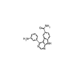 NC(=O)c1ccc2[nH]c3ncnc(-c4cccc(N)c4)c3c2c1